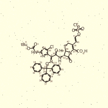 CC(C)(C)OC(=O)Nc1nc(C(=NOC(c2ccccc2)(c2ccccc2)c2ccccc2)C(=O)N[C@@H]2C(=O)N3C(C(=O)O)=C(/C=C/OS(=O)(=O)C(F)(F)F)CS[C@H]23)c(Cl)s1